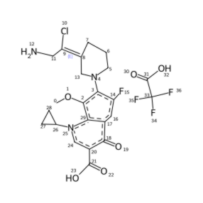 COc1c(N2CCC/C(=C(\Cl)CN)C2)c(F)cc2c(=O)c(C(=O)O)cn(C3CC3)c12.O=C(O)C(F)(F)F